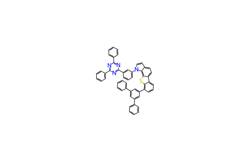 c1ccc(-c2cc(-c3ccccc3)cc(-c3cccc4c3sc3c4ccc4ccn(-c5cccc(-c6nc(-c7ccccc7)nc(-c7ccccc7)n6)c5)c43)c2)cc1